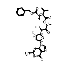 CC(C)[C@H](NC(=O)OCc1ccccc1)C(=O)O[C@@H](C)C(=O)C(O)[C@H]1O[C@@H](n2cnc3c(=O)[nH]c(N)nc32)C[C@@H]1F